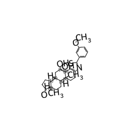 COc1cccc(-c2nc3c(s2)[C@]2(O)[C@@H](O)C[C@H]4[C@@H]5CCC(=O)[C@@]5(C)CC[C@@H]4[C@@]2(C)CC3)c1